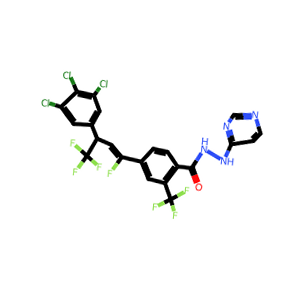 O=C(NNc1ccncn1)c1ccc(C(F)=CC(c2cc(Cl)c(Cl)c(Cl)c2)C(F)(F)F)cc1C(F)(F)F